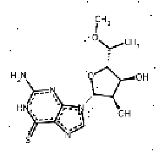 COC(C)[C@H]1O[C@@H](n2cnc3c(=S)[nH]c(N)nc32)[C@H](O)[C@@H]1O